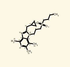 CCCCS(=O)(=O)CCCn1c(CC2CC2)nc2c(N)nc(C)c(C)c21